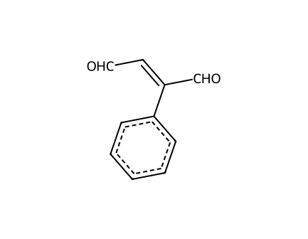 O=C/C=C(/C=O)c1ccccc1